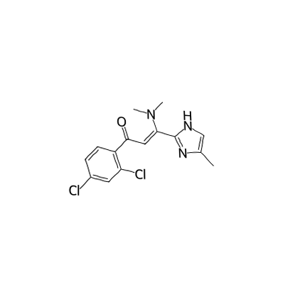 Cc1c[nH]c(C(=CC(=O)c2ccc(Cl)cc2Cl)N(C)C)n1